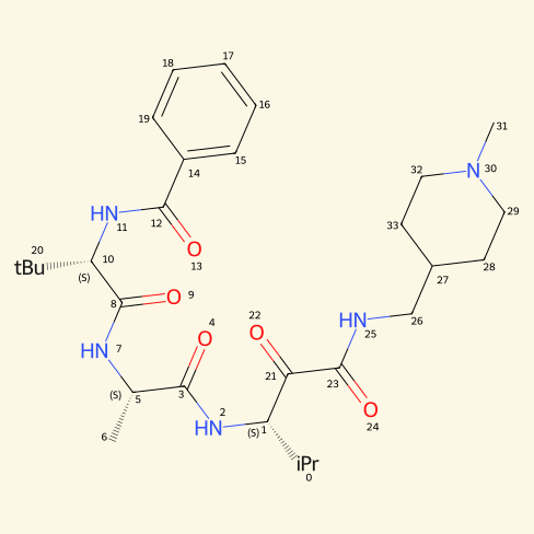 CC(C)[C@H](NC(=O)[C@H](C)NC(=O)[C@@H](NC(=O)c1ccccc1)C(C)(C)C)C(=O)C(=O)NCC1CCN(C)CC1